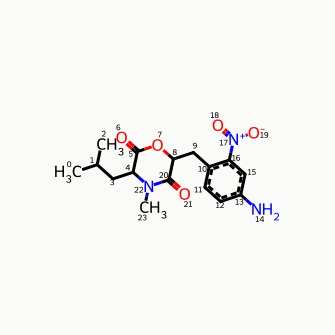 CC(C)CC1C(=O)OC(Cc2ccc(N)cc2[N+](=O)[O-])C(=O)N1C